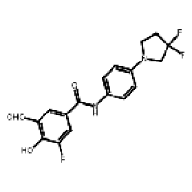 O=Cc1cc(C(=O)Nc2ccc(N3CCC(F)(F)C3)cc2)cc(F)c1O